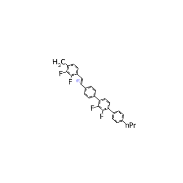 CCCc1ccc(-c2ccc(-c3ccc(/C=C/c4ccc(C)c(F)c4F)cc3)c(F)c2F)cc1